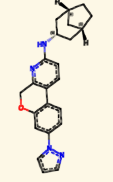 c1cnn(-c2ccc3c(c2)OCc2nc(N[C@@H]4C[C@@H]5CC[C@@H](C5)C4)ccc2-3)c1